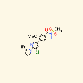 COc1cc(C(=O)NS(C)(=O)=O)ccc1-c1cnc(N2CCC[C@H]2C(C)C)c(Cl)c1